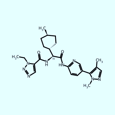 CCn1nncc1C(=O)N[C@H](C(=O)Nc1ccc(-c2c(C)cnn2C)cn1)[C@H]1CC[C@H](C)CC1